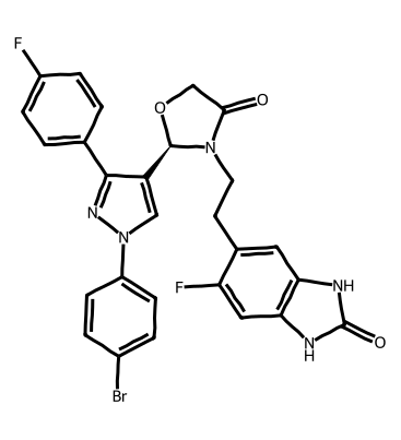 O=C1CO[C@H](c2cn(-c3ccc(Br)cc3)nc2-c2ccc(F)cc2)N1CCc1cc2[nH]c(=O)[nH]c2cc1F